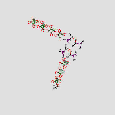 CC(OC(C)P(C)C)P(C)C.CC(OC(C)P(C)C)P(C)C.[O-][Cl+3]([O-])([O-])[O-].[O-][Cl+3]([O-])([O-])[O-].[O-][Cl+3]([O-])([O-])[O-].[O-][Cl+3]([O-])([O-])[O-].[O-][Cl+3]([O-])([O-])[O-].[O-][Cl+3]([O-])([O-])[O-].[O-][Cl+3]([O-])([O-])[O-].[Tc+7]